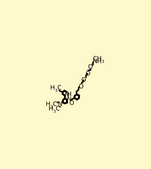 CCc1ccnc(-c2cc(N(CC)CC)ccc2NC(=O)c2cccc(CCCOCCOCCOCCOCCNC)c2)c1